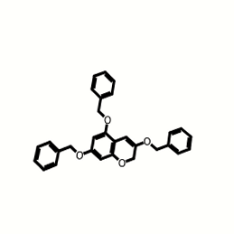 C1=C(OCc2ccccc2)COc2cc(OCc3ccccc3)cc(OCc3ccccc3)c21